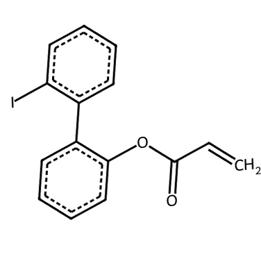 C=CC(=O)Oc1ccccc1-c1ccccc1I